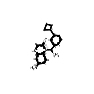 CC(c1cccc(C2CCC2)c1)n1c(=O)cnc2cc(N)ccc21